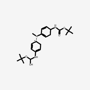 CN(C1=CCC(NC(=O)OC(C)(C)C)C=C1)[C@H]1C=CC(NC(O)OC(C)(C)C)=CC1